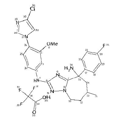 COc1cc(Nc2nc3n(n2)CCC(C)CC3(N)c2ccc(F)cc2)ccc1-n1cnc(Cl)c1.O=C(O)C(F)(F)F